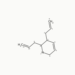 C=CCC1C=CC[N]C1CC=C